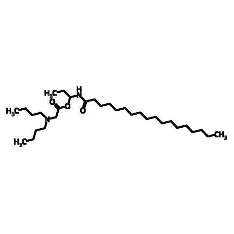 CCCCCCCCCCCCCCCCCC(=O)NC(CC)OC(=O)CN(CCCC)CCCC